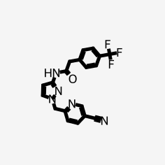 N#Cc1ccc(Cn2ccc(NC(=O)Cc3ccc(C(F)(F)F)cc3)n2)nc1